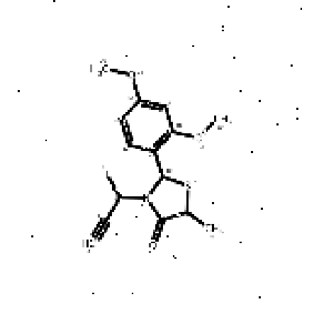 C#CC(I)N1C(=O)C(C)SC1c1ccc(OC)cc1OC